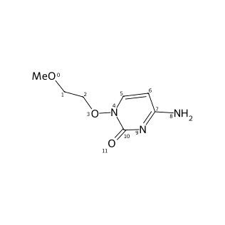 COCCOn1ccc(N)nc1=O